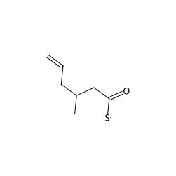 C=CCC(C)CC(=O)[S]